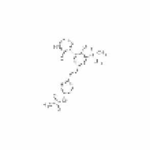 CC1(C)COc2c(-c3ncc[nH]c3=O)cc(C=Cc3ccc(NS(C)(=O)=O)cc3)cc21